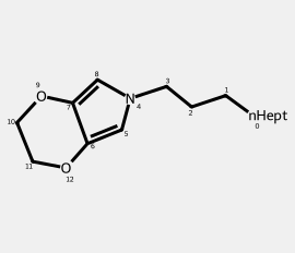 CCCCCCCCCCn1cc2c(c1)OCCO2